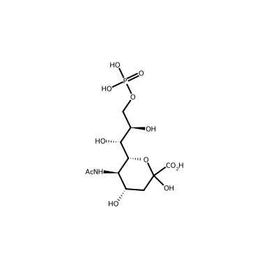 CC(=O)N[C@H]1[C@H]([C@H](O)[C@H](O)COP(=O)(O)O)OC(O)(C(=O)O)C[C@@H]1O